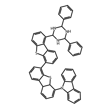 C1=CC2c3cccc(-c4cccc5c4sc4cccc(C6NC(c7ccccc7)NC(c7ccccc7)N6)c45)c3SC2C(n2c3ccccc3c3ccccc32)=C1